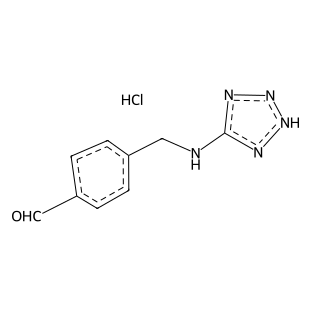 Cl.O=Cc1ccc(CNc2nn[nH]n2)cc1